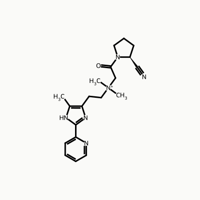 Cc1[nH]c(-c2ccccn2)nc1CC[N+](C)(C)CC(=O)N1CCC[C@H]1C#N